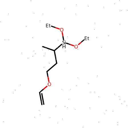 C=COCCC(C)[SiH](OCC)OCC